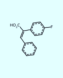 O=C(O)C(=Cc1ccccc1)c1ccc(F)cc1